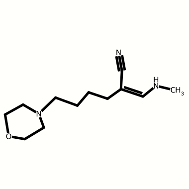 CN/C=C(\C#N)CCCCN1CCOCC1